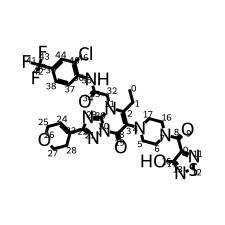 CCc1c(N2CCN(C(=O)c3nsnc3O)CC2)c(=O)n2nc(C3=CCOCC3)nc2n1CC(=O)Nc1ccc(C(F)(F)F)cc1Cl